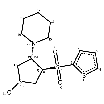 O=S(=O)(c1cccs1)[C@H]1C[S+]([O-])C[C@@H]1N1CCCCC1